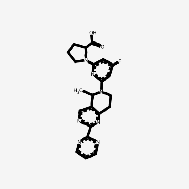 CC1c2cnc(-c3ncccn3)nc2CCN1c1cc(F)cc(N2CCCC2C(=O)O)n1